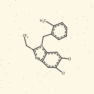 Cc1ccccc1Cn1c(CC(F)(F)F)nc2cc(Cl)c(Cl)cc21